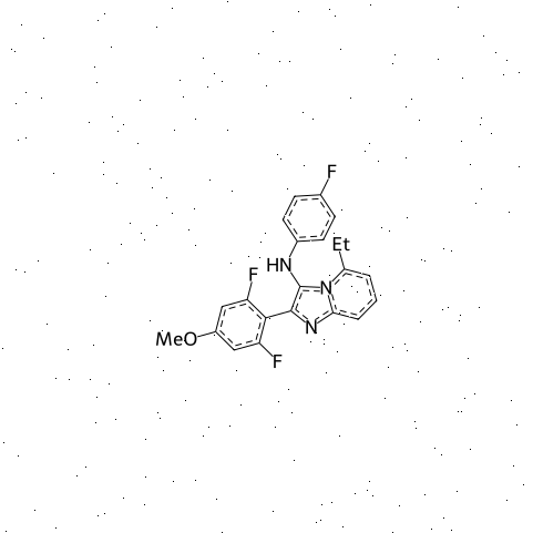 CCc1cccc2nc(-c3c(F)cc(OC)cc3F)c(Nc3ccc(F)cc3)n12